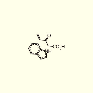 C=CC(=O)CC(=O)O.c1ccc2[nH]ccc2c1